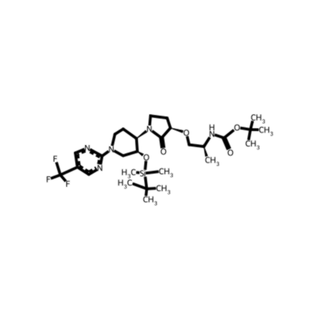 C[C@@H](CO[C@@H]1CCN([C@@H]2CCN(c3ncc(C(F)(F)F)cn3)C[C@@H]2O[Si](C)(C)C(C)(C)C)C1=O)NC(=O)OC(C)(C)C